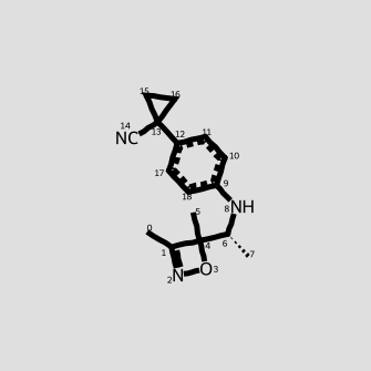 CC1=NOC1(C)[C@@H](C)Nc1ccc(C2(C#N)CC2)cc1